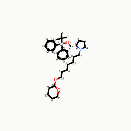 CC(C)(C)[Si](OC[C@@H]1CCCN1CCCCCCCOC1CCCCO1)(c1ccccc1)c1ccccc1